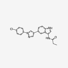 CCC(=O)Nc1c[nH]c2ccc(-c3cnn(-c4ccc(Cl)cc4)c3)cc12